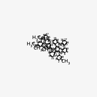 Cc1cccc(-n2c3ccccc3c3c4c(c5ccccc5n4-c4ccccc4)c4c(c5ccccc5n4-c4ccc5c(c4)Sc4ccccc4B5c4c(C(C)C)cc(C(C)C)cc4C(C)C)c32)c1